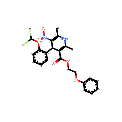 CC1=C(C(=O)OCCOc2ccccc2)C(c2ccccc2OC(F)F)C([N+](=O)[O-])=C(C)N1